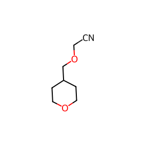 N#CCOCC1CCOCC1